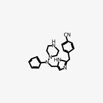 N#Cc1ccc(Cc2ncc(CN(c3ccccc3)N3CCNCC3)[nH]2)cc1